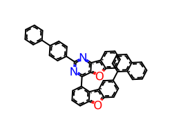 c1ccc(-c2ccc(-c3nc(-c4cccc5oc6ccc(-c7cccc8ccccc78)cc6c45)c4oc5ccccc5c4n3)cc2)cc1